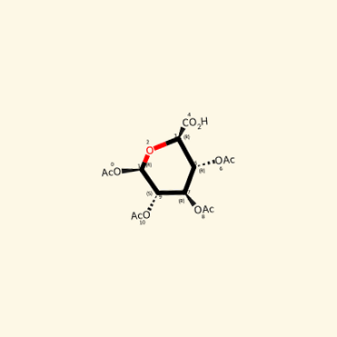 CC(=O)O[C@H]1O[C@@H](C(=O)O)[C@H](OC(C)=O)[C@@H](OC(C)=O)[C@@H]1OC(C)=O